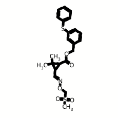 CC1(C)C(C=NOCS(C)(=O)=O)C1C(=O)OCc1cccc(Sc2ccccc2)c1